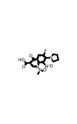 CN(C)n1cc(C(=O)O)c(=O)c2cc(F)c(N3CCCC3)c([N+](=O)[O-])c21